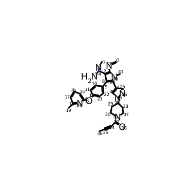 C=Nc1c(/C(N)=N\C)c(-c2ccc(Oc3cccc(C)n3)cc2)c(-c2cnn(C3CCN(C(=O)C#CC)CC3)c2)n1C